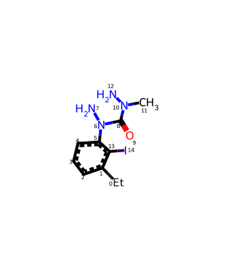 CCc1cccc(N(N)C(=O)N(C)N)c1I